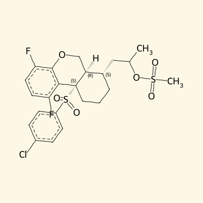 CC(C[C@@H]1CCC[C@@]2(S(=O)(=O)c3ccc(Cl)cc3)c3c(F)ccc(F)c3OC[C@@H]12)OS(C)(=O)=O